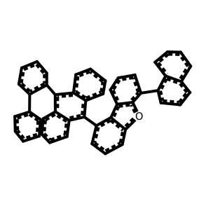 c1ccc(-c2ccccc2-c2c3ccccc3c(-c3cccc4oc5c(-c6cccc7ccccc67)cccc5c34)c3ccccc23)cc1